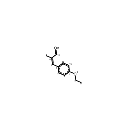 CCOc1ccc(C=C(C)C=O)cc1